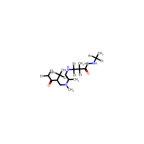 CCCC(C)(C)C(CN(C)C(C)CNC(CC)(CC)C(C)(CC)C(=O)BNC(C)(CC)C(C)=O)C(=O)C(CC)CC